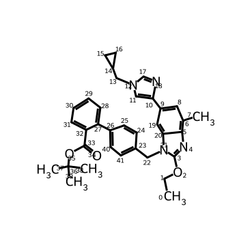 CCOc1nc2c(C)cc(-c3cn(CC4CC4)cn3)cc2n1Cc1ccc(-c2ccccc2C(=O)OC(C)(C)C)cc1